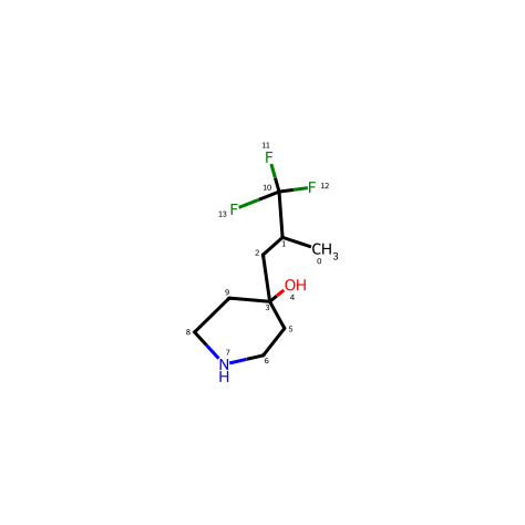 CC(CC1(O)CCNCC1)C(F)(F)F